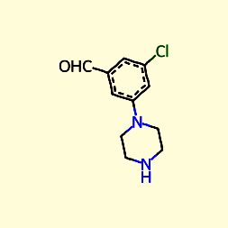 O=Cc1cc(Cl)cc(N2CCNCC2)c1